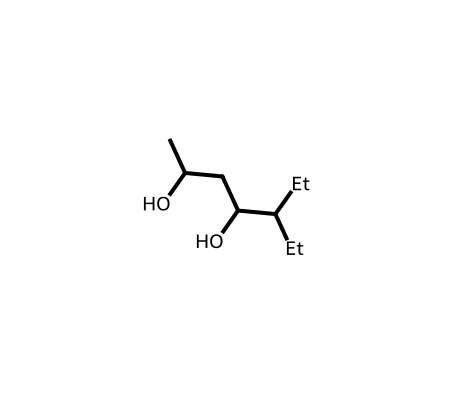 CCC(CC)C(O)CC(C)O